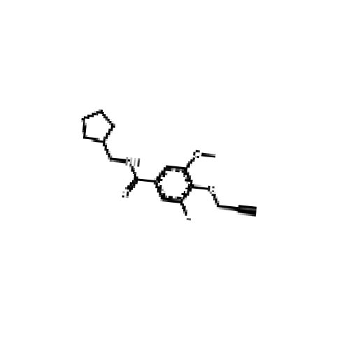 C#CCOc1c(F)cc(C(=O)NCC2CCCC2)cc1OC